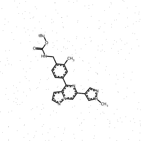 Cc1cc(-c2nc(-c3cnn(C)c3)cn3nccc23)ccc1CNC(=O)OC(C)(C)C